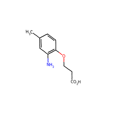 Cc1ccc(OCCC(=O)O)c(N)c1